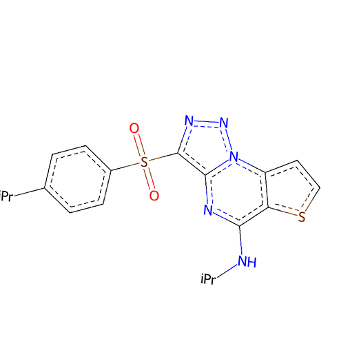 CC(C)Nc1nc2c(S(=O)(=O)c3ccc(C(C)C)cc3)nnn2c2ccsc12